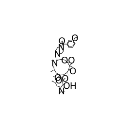 COc1cccc(C(=O)N2CCN(C[C@@H]3COC(=O)C(C)(C)C(=O)[C@H](C)[C@@H](O[C@@H]4O[C@H](C)C[C@H](N(C)C)[C@H]4O)[C@](C)(OC)C[C@@H](C)CN3C)CC2)c1